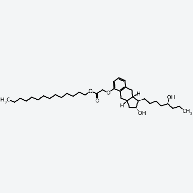 CCCCCCCCCCCCCCOC(=O)COc1cccc2c1C[C@H]1C[C@@H](O)[C@H](CCCC[C@@H](O)CCC)[C@H]1C2